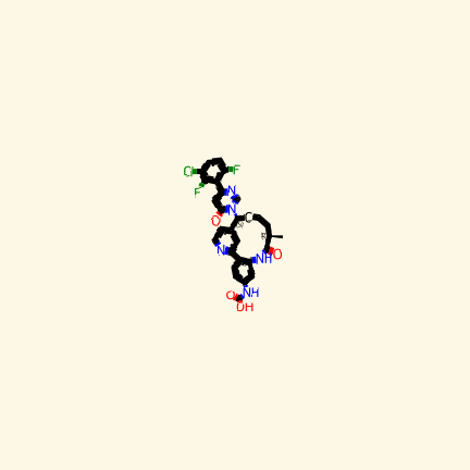 C[C@@H]1CCC[C@H](n2cnc(-c3c(F)ccc(Cl)c3F)cc2=O)c2ccnc(c2)-c2ccc(NC(=O)O)cc2NC1=O